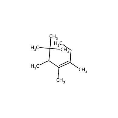 CCC(C)=C(C)C(C)C(C)(C)C